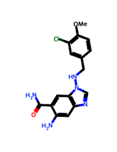 COc1ccc(CNn2cnc3cc(N)c(C(N)=O)cc32)cc1Cl